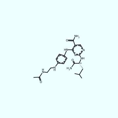 CC(=O)NCCNc1ccc(Nc2nc(N[C@H](CC(C)C)C(N)=O)ncc2C(N)=O)cc1